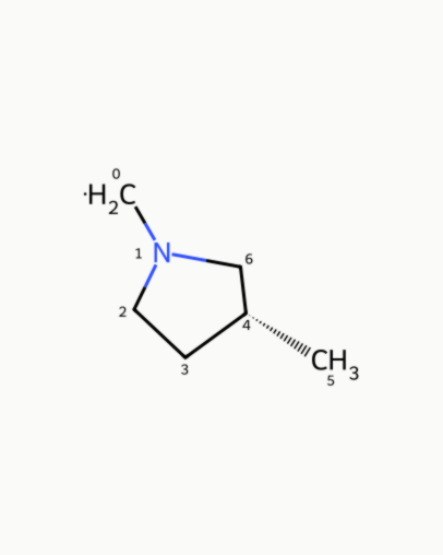 [CH2]N1CC[C@@H](C)C1